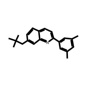 Cc1cc(C)cc(-c2ccc3ccc(CC(C)(C)C)cc3n2)c1